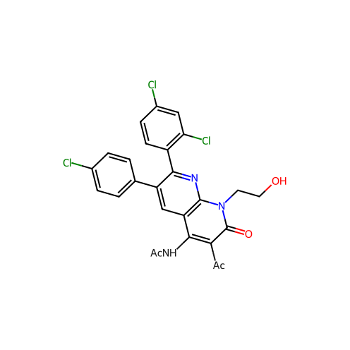 CC(=O)Nc1c(C(C)=O)c(=O)n(CCO)c2nc(-c3ccc(Cl)cc3Cl)c(-c3ccc(Cl)cc3)cc12